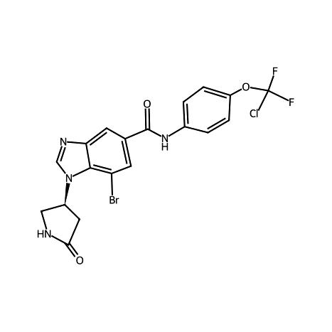 O=C1C[C@H](n2cnc3cc(C(=O)Nc4ccc(OC(F)(F)Cl)cc4)cc(Br)c32)CN1